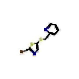 Brc1ncc(SCc2ccccn2)s1